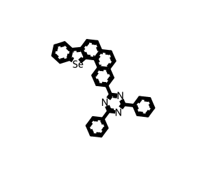 c1ccc(-c2nc(-c3ccccc3)nc(-c3ccc4c(ccc5ccc6c7ccccc7[se]c6c54)c3)n2)cc1